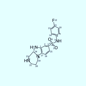 Nc1cc(S(=O)(=O)Nc2ccc(F)cc2)ccc1N1CCCNCC1